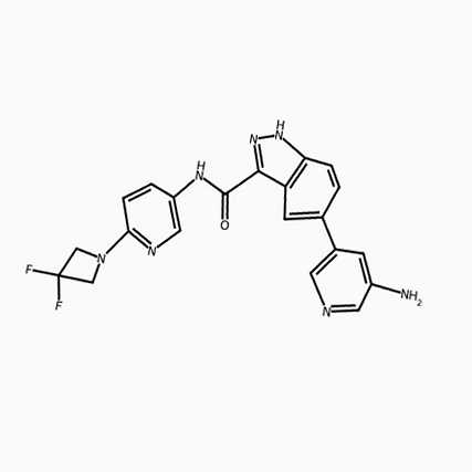 Nc1cncc(-c2ccc3[nH]nc(C(=O)Nc4ccc(N5CC(F)(F)C5)nc4)c3c2)c1